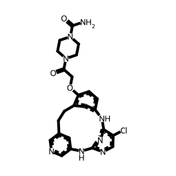 NC(=O)N1CCN(C(=O)COc2ccc3cc2CCc2cncc(c2)Nc2ncc(Cl)c(n2)N3)CC1